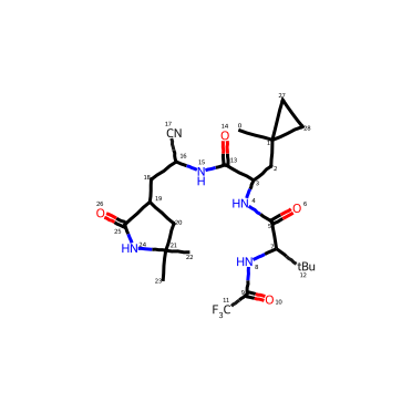 CC1(CC(NC(=O)C(NC(=O)C(F)(F)F)C(C)(C)C)C(=O)NC(C#N)CC2CC(C)(C)NC2=O)CC1